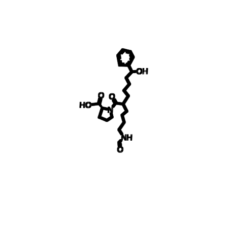 O=CNCCCCC(CCCCC(O)c1ccccc1)C(=O)N1CCC[C@H]1C(=O)O